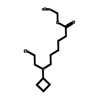 CCCCCCCCCCCOC(=O)CCCCCN(CCCl)C1CCC1